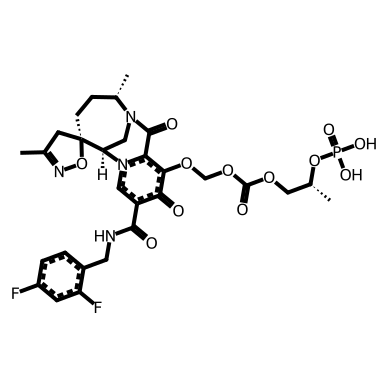 CC1=NO[C@@]2(CC[C@H](C)N3C[C@H]2n2cc(C(=O)NCc4ccc(F)cc4F)c(=O)c(OCOC(=O)OC[C@@H](C)OP(=O)(O)O)c2C3=O)C1